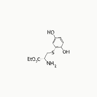 CCOC(=O)[C@@H](N)CSc1cc(O)ccc1O